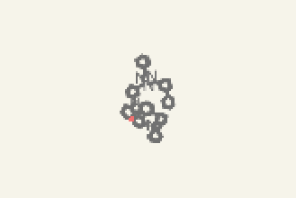 c1ccc(-c2cccc(-c3nc(-c4ccccc4)nc(-c4cccc(-n5c6ccccc6c6cc(-c7cccc8c9ccccc9n(-c9ccccc9)c78)ccc65)c4)n3)c2)cc1